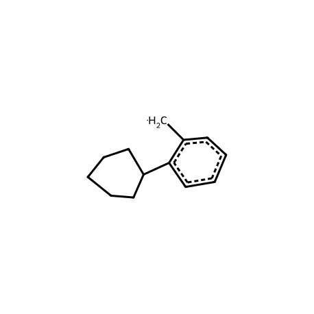 [CH2]c1ccccc1C1CCCCC1